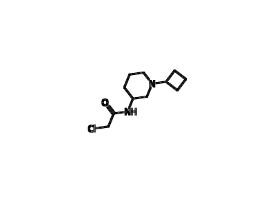 O=C(CCl)NC1CCCN(C2CCC2)C1